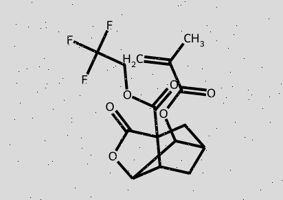 C=C(C)C(=O)OC1C2CC3C1OC(=O)C3(C(=O)OCC(F)(F)F)C2